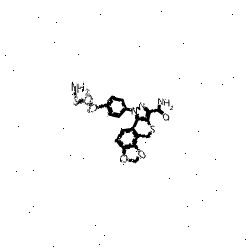 NSOOc1ccc(-n2nc(C(N)=O)c3c2-c2ccc4c(c2CS3)OCO4)cc1